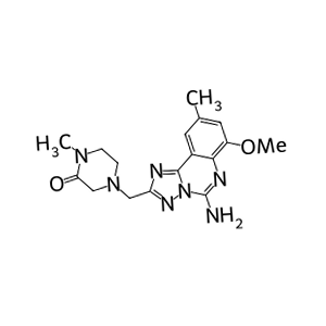 COc1cc(C)cc2c1nc(N)n1nc(CN3CCN(C)C(=O)C3)nc21